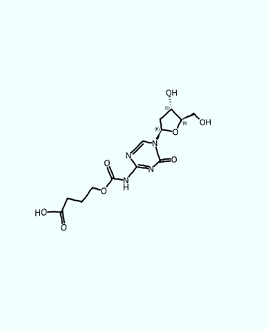 O=C(O)CCCOC(=O)Nc1ncn([C@H]2C[C@H](O)[C@@H](CO)O2)c(=O)n1